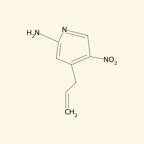 C=CCc1cc(N)ncc1[N+](=O)[O-]